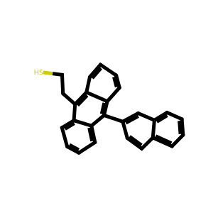 SCCc1c2ccccc2c(-c2ccc3ccccc3c2)c2ccccc12